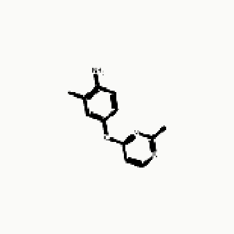 Cc1nccc(Oc2ccc(N)c(C)c2)n1